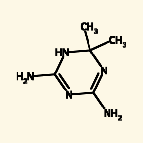 CC1(C)N=C(N)N=C(N)N1